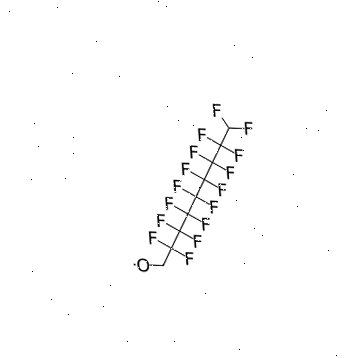 [O]CC(F)(F)C(F)(F)C(F)(F)C(F)(F)C(F)(F)C(F)(F)C(F)(F)C(F)F